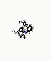 CN1CCN=C(/C=C/c2ccccc2SCc2ccc(Cl)cc2)c2ccccc21.Cl.Cl